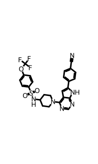 N#Cc1ccc(-c2cc3c(N4CCC(NS(=O)(=O)c5ccc(OC(F)(F)F)cc5)CC4)ncnc3[nH]2)cc1